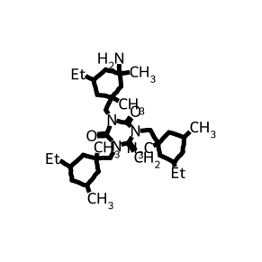 C=C1N(CC2(C)CC(C)CC(CC)C2)C(=O)N(CC2(C)CC(CC)CC(C)(N)C2)C(=O)N1CC1(C)CC(C)CC(CC)C1